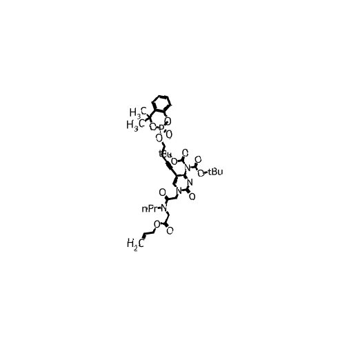 C=CCOC(=O)CN(CCC)C(=O)Cn1cc(C#CCCOP2(=O)Oc3ccccc3C(C)(C)O2)c(N(C(=O)OC(C)(C)C)C(=O)OC(C)(C)C)nc1=O